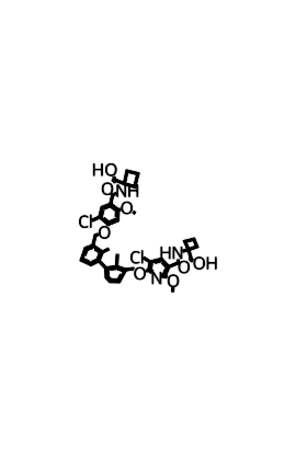 COc1cc(OCc2cccc(-c3cccc(COc4nc(OC)c(CNC5(C(=O)O)CCC5)cc4Cl)c3C)c2C)c(Cl)cc1CNC1(C(=O)O)CCC1